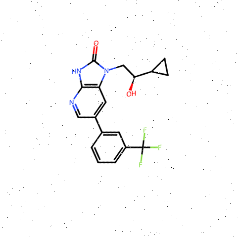 O=c1[nH]c2ncc(-c3cccc(C(F)(F)F)c3)cc2n1C[C@H](O)C1CC1